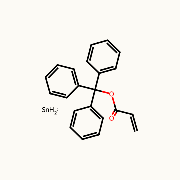 C=CC(=O)OC(c1ccccc1)(c1ccccc1)c1ccccc1.[SnH2]